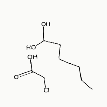 CCCCCC(O)O.O=C(O)CCl